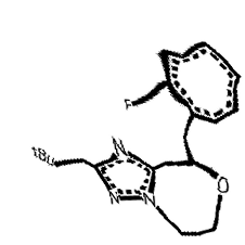 CC(C)(C)c1nc2n(n1)CCOC2c1ccccc1F